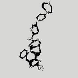 Cc1nc2c(o1)-c1cc3cnc(Nc4ccc(N5CCC(N6CCOCC6)CC5)cn4)nc3n1C1(CCCCC1)C2